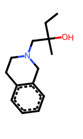 CCC(C)(O)CN1CCc2ccccc2C1